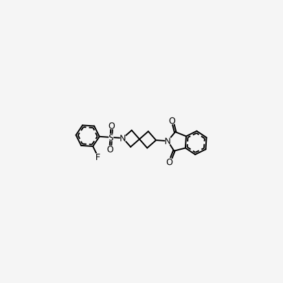 O=C1c2ccccc2C(=O)N1C1CC2(C1)CN(S(=O)(=O)c1ccccc1F)C2